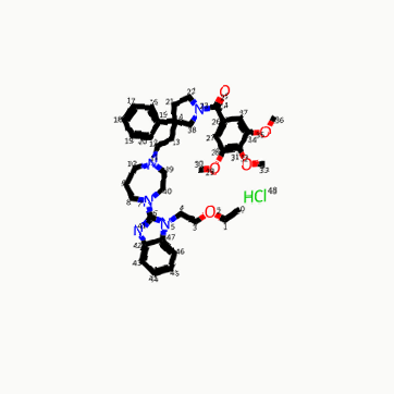 CCOCCn1c(N2CCCN(CCC3(c4ccccc4)CCN(C(=O)c4cc(OC)c(OC)c(OC)c4)C3)CC2)nc2ccccc21.Cl